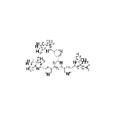 CC1(C)N=C(c2cncc(-c3nc(-c4cncc(C5=NC(C)(C)C(C)(C)S5)c4)nc(-c4cncc(C5=NC(C)(C)C(C)(C)S5)c4)n3)c2)SC1(C)C